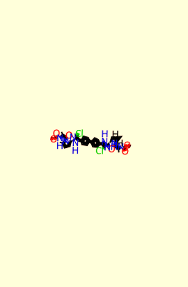 COC(=O)N[C@@H](C)C(=O)N1[C@H](C)CC[C@H]1c1nc(Cl)c(-c2ccc(-c3ccc(-c4[nH]c([C@@H]5C[C@H]6C[C@H]6N5C(=O)[C@H](C)NC(=O)OC)nc4Cl)cc3)cc2)[nH]1